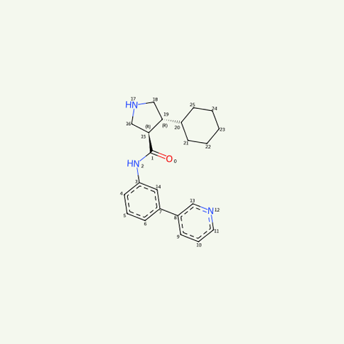 O=C(Nc1cccc(-c2cccnc2)c1)[C@H]1CNC[C@@H]1C1CCCCC1